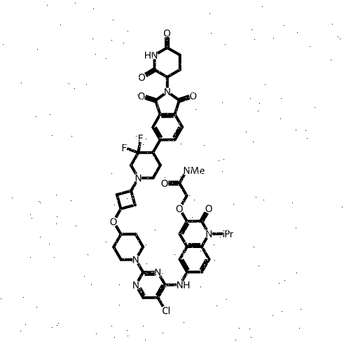 CNC(=O)COc1cc2cc(Nc3nc(N4CCC(OC5CC(N6CCC(c7ccc8c(c7)C(=O)N(C7CCC(=O)NC7=O)C8=O)C(F)(F)C6)C5)CC4)ncc3Cl)ccc2n(C(C)C)c1=O